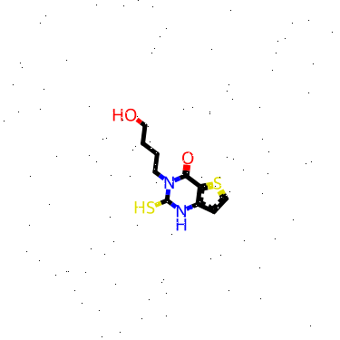 O=C1c2sccc2NC(S)N1CCCCO